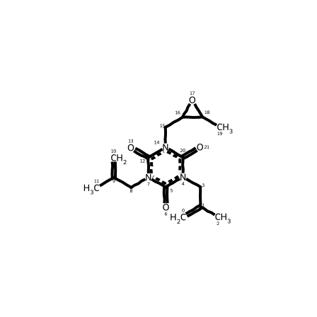 C=C(C)Cn1c(=O)n(CC(=C)C)c(=O)n(CC2OC2C)c1=O